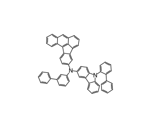 c1ccc(-c2cccc(N(c3ccc4c(c3)-c3cccc5cc6ccccc6c-4c35)c3ccc4c(c3)c3ccccc3n4-c3ccccc3-c3ccccc3)c2)cc1